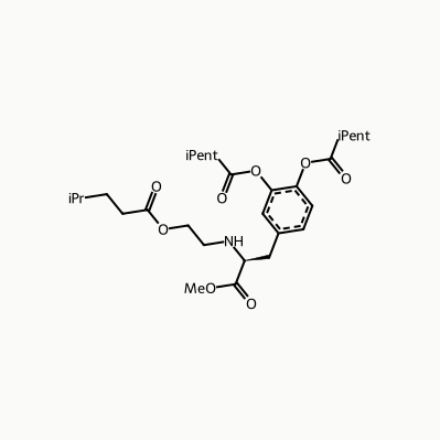 CCCC(C)C(=O)Oc1ccc(C[C@H](NCCOC(=O)CCC(C)C)C(=O)OC)cc1OC(=O)C(C)CCC